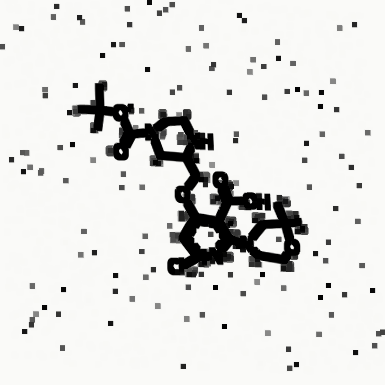 CC(C)(C)OC(=O)N1CCNC(COc2cc(Cl)nc(N3CCOC(C)(C)C3)c2C(=O)O)C1